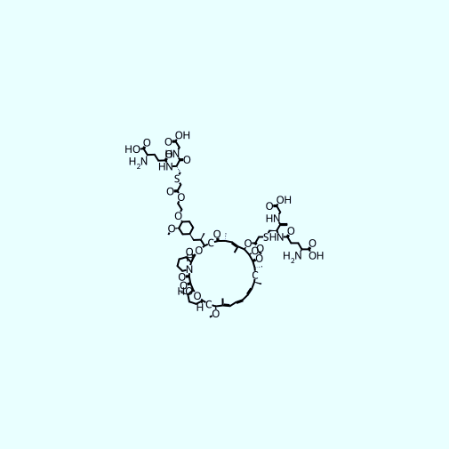 C=C(NCC(=O)O)[C@H](CSCC(=O)O[C@@H]1/C(C)=C/[C@@H](C)C(=O)CC([C@H](C)C[C@@H]2CC[C@@H](OCCOC(=O)CSC[C@H](NC(=O)CC[C@H](N)C(=O)O)C(=O)NCC(=O)O)[C@H](OC)C2)OC(=O)[C@@H]2CCCCN2C(=O)C(=O)[C@]2(O)O[C@@H](CC[C@H]2C)C[C@H](OC)/C(C)=C/C=C/C=C\[C@H](C)C[C@@H](C)C(=O)[C@@H]1OC)NC(=O)CC[C@H](N)C(=O)O